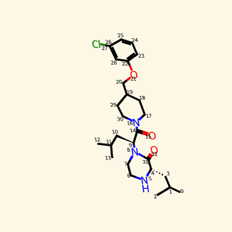 CC(C)C[C@@H]1NCCN([C@@H](CC(C)C)C(=O)N2CCC(COc3cccc(Cl)c3)CC2)C1=O